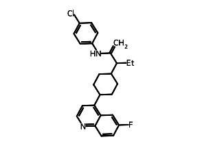 C=C(Nc1ccc(Cl)cc1)C(CC)C1CCC(c2ccnc3ccc(F)cc23)CC1